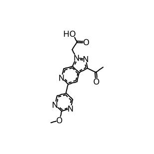 COc1ncc(-c2cc3c(C(C)=O)nn(CC(=O)O)c3cn2)cn1